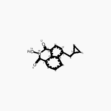 O=C1c2cccc3c(CC4CC4)ccc(c23)C(=O)N1O